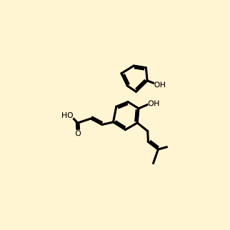 CC(C)=CCc1cc(/C=C/C(=O)O)ccc1O.Oc1ccccc1